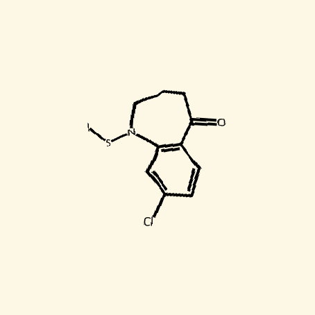 O=C1CCCN(SI)c2cc(Cl)ccc21